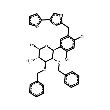 CC[C@H]1O[C@@H](c2cc(Cc3ncc(-c4ccco4)s3)c(Cl)cc2O)[C@H](OCc2ccccc2)[C@@H](OCc2ccccc2)[C@@H]1C